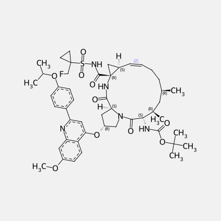 COc1ccc2c(O[C@@H]3C[C@H]4C(=O)N[C@]5(C(=O)NS(=O)(=O)C6(CF)CC6)C[C@H]5/C=C\CC[C@@H](C)C[C@@H](C)[C@H](NC(=O)OC(C)(C)C)C(=O)N4C3)cc(-c3ccc(OC(C)C)cc3)nc2c1